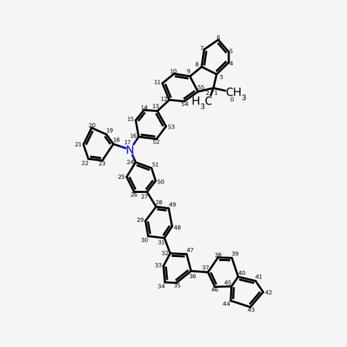 CC1(C)c2ccccc2-c2ccc(-c3ccc(N(c4ccccc4)c4ccc(-c5ccc(-c6cccc(-c7ccc8ccccc8c7)c6)cc5)cc4)cc3)cc21